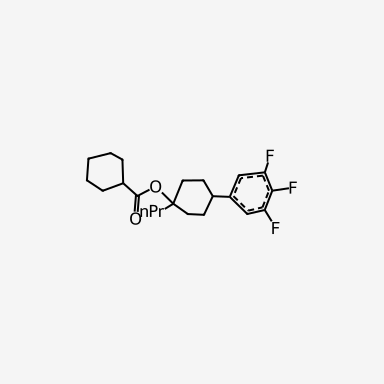 CCCC1(OC(=O)C2CCCCC2)CCC(c2cc(F)c(F)c(F)c2)CC1